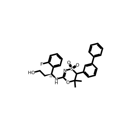 CC1(C)OC(N[C@@H](CCO)c2ccccc2F)=NS(=O)(=O)C1c1cccc(-c2ccccc2)c1